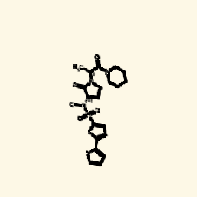 C[C@@H](C(=O)N1CCCCC1)N1CC[C@H](N(Cl)S(=O)(=O)c2ccc(-c3cccs3)s2)C1=O